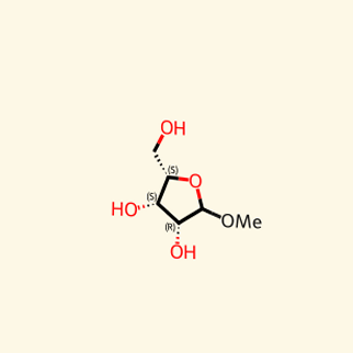 COC1O[C@@H](CO)[C@@H](O)[C@H]1O